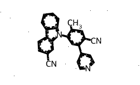 Cc1cc(C#N)c(-c2ccncc2)cc1-n1c2ccccc2c2ccc(C#N)cc21